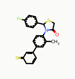 Cc1cc(C2=CC(=S)CC=C2)ccc1N1C(=O)CSC1c1ccc(F)cc1